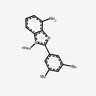 CCCCCCn1c(-c2cc(C(C)(C)C)cc(C(C)(C)C)c2)nc2c(N)cccc21